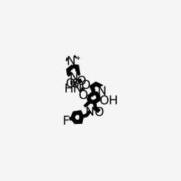 C[N+](C)=c1ccn(S(=O)(=O)NC(=O)Oc2c3c(c(O)c4ncccc24)C(=O)N(Cc2ccc(F)cc2)C3)cc1